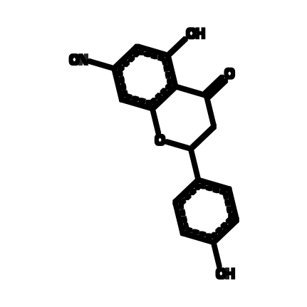 O=Nc1cc(O)c2c(c1)OC(c1ccc(O)cc1)CC2=O